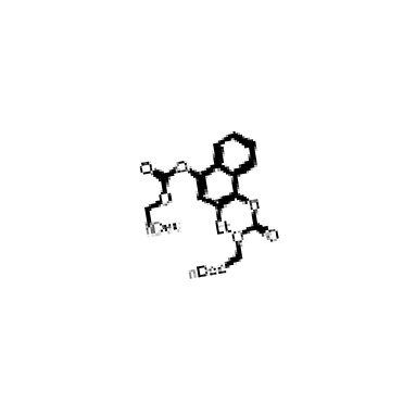 CCCCCCCCCCCOC(=O)Oc1cc(CC)c(OC(=O)OCCCCCCCCCCC)c2ccccc12